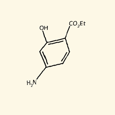 CCOC(=O)c1ccc(N)cc1O